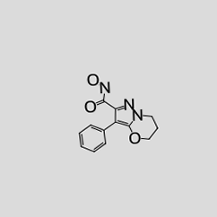 O=NC(=O)c1nn2c(c1-c1ccccc1)OCCC2